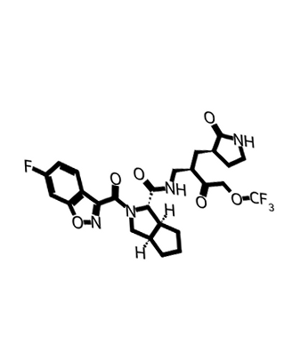 O=C(COC(F)(F)F)[C@@H](CNC(=O)[C@@H]1[C@H]2CCC[C@H]2CN1C(=O)c1noc2cc(F)ccc12)C[C@@H]1CCNC1=O